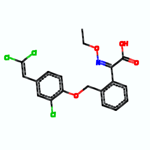 CCON=C(C(=O)O)c1ccccc1COc1ccc(C=C(Cl)Cl)cc1Cl